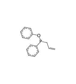 C=CCP(Oc1ccccc1)c1ccccc1